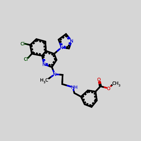 COC(=O)c1cccc(CNCCN(C)c2cc(-n3ccnc3)c3ccc(Cl)c(Cl)c3n2)c1